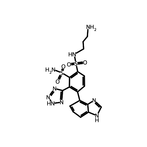 NCCCNS(=O)(=O)c1ccc(-c2cccc3[nH]cnc23)c(-c2nn[nH]n2)c1S(N)(=O)=O